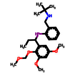 CCC(Pc1ccccc1CNC(C)(C)C)c1cc(OC)cc(OC)c1OCOC